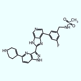 CS(=O)(=O)NCc1cc(F)cc(-c2cncc3[nH]c(-c4n[nH]c5ccc(C6=CCNCC6)nc45)nc23)c1